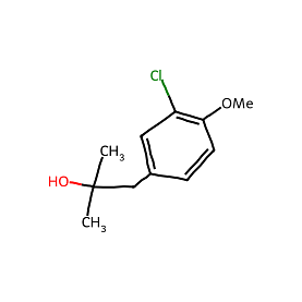 COc1ccc(CC(C)(C)O)cc1Cl